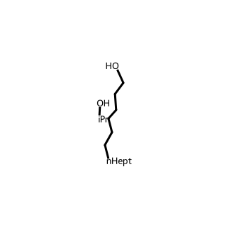 CC(C)O.CCCCCCCCCCCCCO